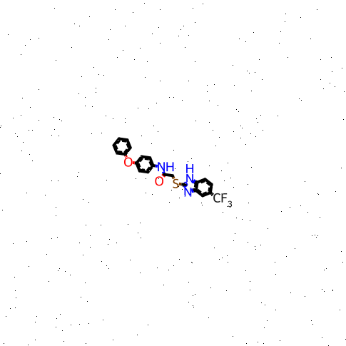 O=C(CSc1nc2cc(C(F)(F)F)ccc2[nH]1)Nc1ccc(Oc2ccccc2)cc1